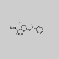 CNC(C(=O)O)[C@@H]1OC(OC(C)c2ccccc2)C[C@H]1C